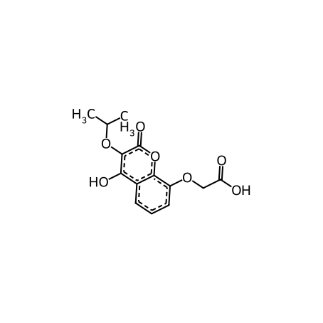 CC(C)Oc1c(O)c2cccc(OCC(=O)O)c2oc1=O